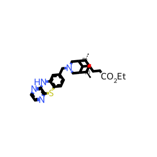 CCOC(=O)CCCC1C2CN(Cc3ccc4c(c3)Nc3nccnc3S4)CC1[C@H](C)C[C@H]2C